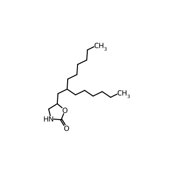 CCCCCCC(CCCCCC)CC1CNC(=O)O1